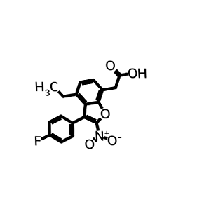 CCc1ccc(CC(=O)O)c2oc([N+](=O)[O-])c(-c3ccc(F)cc3)c12